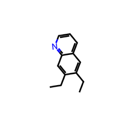 CCc1cc2cccnc2cc1CC